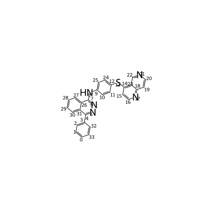 c1ccc(-c2nnc(Nc3ccc(Sc4ccnc5ccncc45)cc3)c3ccccc23)cc1